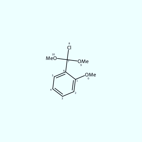 COc1ccccc1C(Cl)(OC)OC